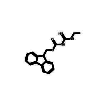 CCNC(=N)NC(=O)OCC1c2ccccc2-c2ccccc21